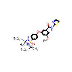 CCOC(=O)[C@H](C)NP(=O)(N[C@@H](C)C(=O)OCC)c1ccc(Oc2cc(OC(C)C)cc(C(=O)Nc3nccs3)c2)cc1